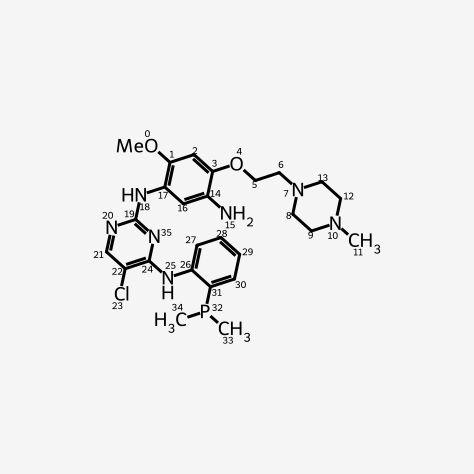 COc1cc(OCCN2CCN(C)CC2)c(N)cc1Nc1ncc(Cl)c(Nc2ccccc2P(C)C)n1